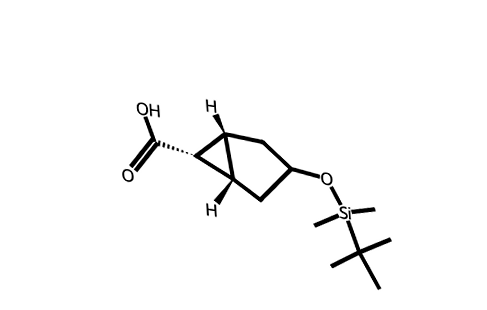 CC(C)(C)[Si](C)(C)OC1C[C@@H]2[C@H](C1)[C@@H]2C(=O)O